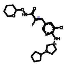 O=C(NOC1CCCCO1)/C(F)=C/c1cnc(N[C@@H]2CCN(C3CCCC3)C2)c(Cl)c1